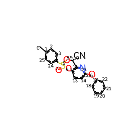 Cc1ccc(S(=O)(=O)OC(C#N)c2cccc(Oc3ccccc3)n2)cc1